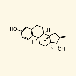 C=C1C[C@H]2[C@@H]3CCc4cc(O)ccc4[C@H]3CC[C@]2(C)[C@H]1O